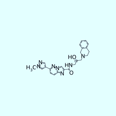 Cn1cc(-c2ccc3nc(C(=O)NC[C@H](O)CN4CCc5ccccc5C4)cn3n2)cn1